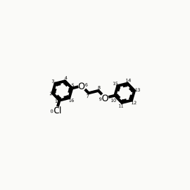 Clc1cccc(OCCOc2ccccc2)c1